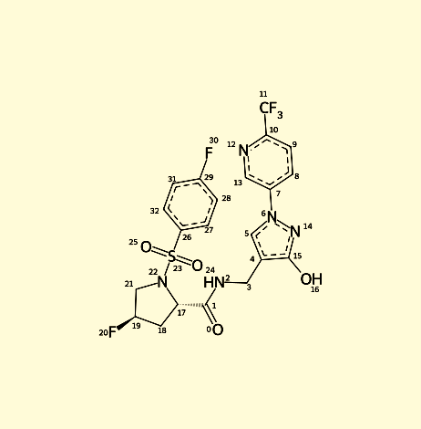 O=C(NCc1cn(-c2ccc(C(F)(F)F)nc2)nc1O)[C@@H]1C[C@@H](F)CN1S(=O)(=O)c1ccc(F)cc1